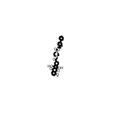 COc1cccc2c1C(=O)c1c(O)c3c(c(O)c1C2=O)CC(C(=O)CN1CCCN(C(=O)OC(C)(C)c2ccc(-c4ccccc4)cc2)CC1)CC3